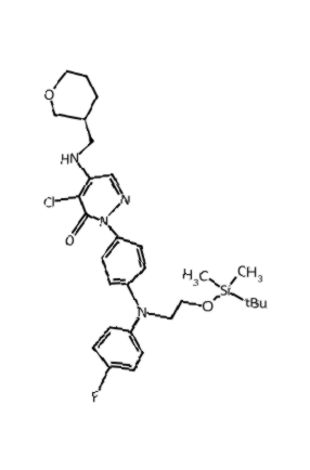 CC(C)(C)[Si](C)(C)OCCN(c1ccc(F)cc1)c1ccc(-n2ncc(NC[C@@H]3CCCOC3)c(Cl)c2=O)cc1